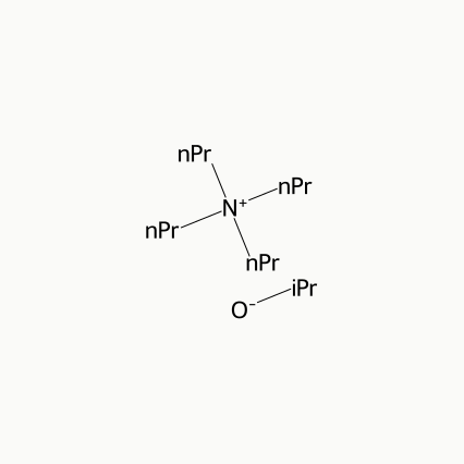 CC(C)[O-].CCC[N+](CCC)(CCC)CCC